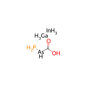 O=C(O)[AsH]P.[GaH3].[InH3]